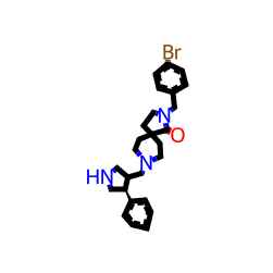 O=C1N(Cc2ccc(Br)cc2)CCC12CCN(CC1CNC[C@@H]1c1ccccc1)CC2